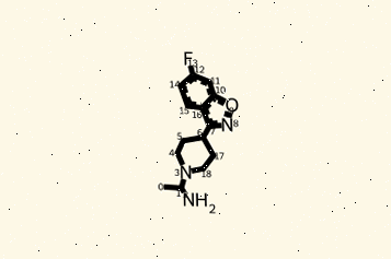 CC(N)N1CCC(c2noc3cc(F)ccc23)CC1